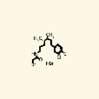 Br.CC(CCc1ccc(Cl)c(Cl)c1)N(C)CCCNC(=O)CBr